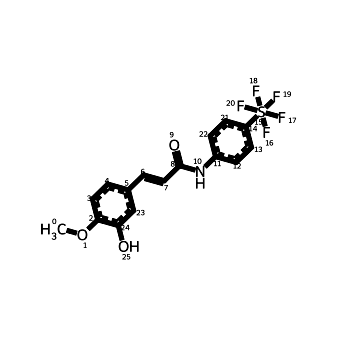 COc1ccc(C=CC(=O)Nc2ccc(S(F)(F)(F)(F)F)cc2)cc1O